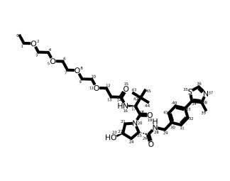 CCOCCOCCOCCOCCC(=O)N[C@H](C(=O)N1C[C@H](O)C[C@H]1C(=O)NCc1ccc(-c2scnc2C)cc1)C(C)(C)C